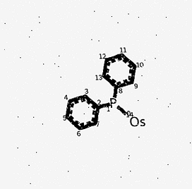 CP(c1ccccc1)c1ccccc1.[Os]